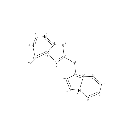 Cc1ncnc2sc(Cc3cnn4ccccc34)nc12